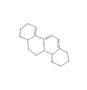 C1=C2C3=CC=C4CCCCC4C3CCC2CCC1